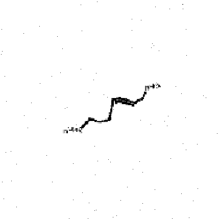 C[CH]CCCCCCC=CCCCCCC